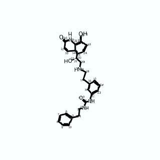 O=C(NCCc1ccccc1)Nc1cccc(CCNC[C@@H](O)c2ccc(O)c3[nH]c(=O)ccc23)c1